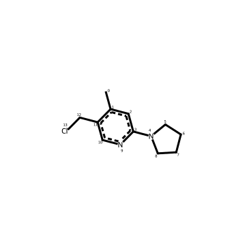 Cc1cc(N2CCCC2)ncc1CCl